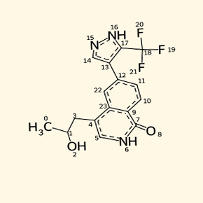 CC(O)Cc1c[nH]c(=O)c2ccc(-c3cn[nH]c3C(F)(F)F)cc12